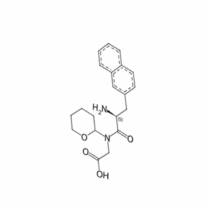 N[C@@H](Cc1ccc2ccccc2c1)C(=O)N(CC(=O)O)C1CCCCO1